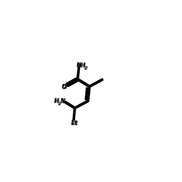 CCC(N)C=C(C)C(N)=O